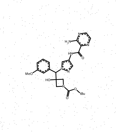 COc1cccc(C(n2cc(NC(=O)c3nccnc3N)cn2)C2(O)CN(C(=O)OC(C)(C)C)C2)c1